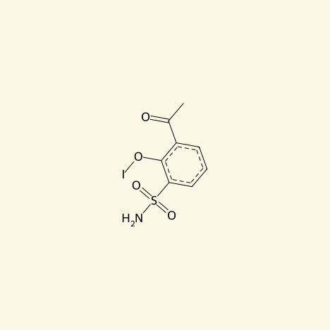 CC(=O)c1cccc(S(N)(=O)=O)c1OI